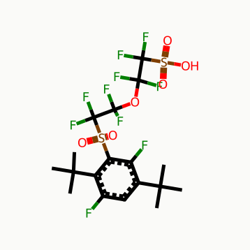 CC(C)(C)c1cc(F)c(C(C)(C)C)c(S(=O)(=O)C(F)(F)C(F)(F)OC(F)(F)C(F)(F)S(=O)(=O)O)c1F